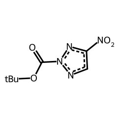 CC(C)(C)OC(=O)n1ncc([N+](=O)[O-])n1